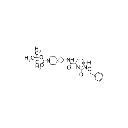 CC(C)(C)OC(=O)N1CCC2(CC1)CC(NC(=O)C1CC[C@@H]3CN1C(=O)N3OCc1ccccc1)C2